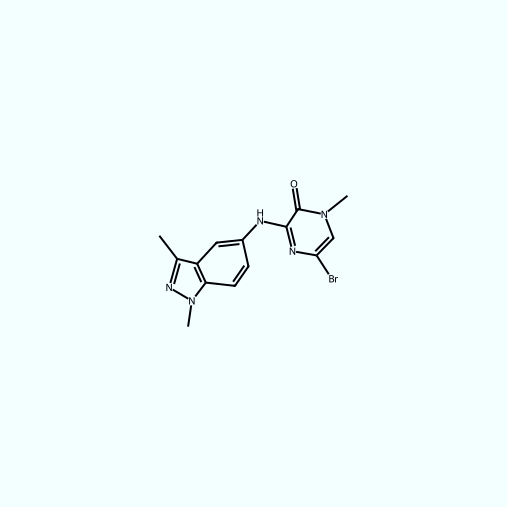 Cc1nn(C)c2ccc(Nc3nc(Br)cn(C)c3=O)cc12